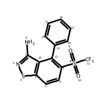 Nc1nsc2ccc(S(=O)(=O)C(F)(F)F)c(-c3ccccc3)c12